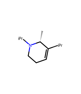 CC(C)C1=CCCN(C(C)C)[C@@H]1C